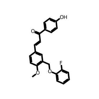 COc1ccc(/C=C/C(=O)c2ccc(O)cc2)cc1COc1ccccc1F